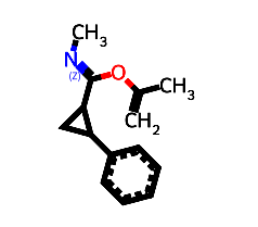 C=C(C)O/C(=N\C)C1CC1c1ccccc1